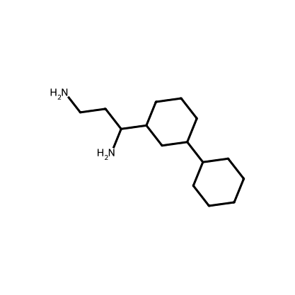 NCCC(N)C1CCCC(C2CCCCC2)C1